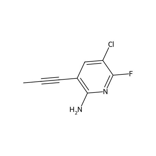 CC#Cc1cc(Cl)c(F)nc1N